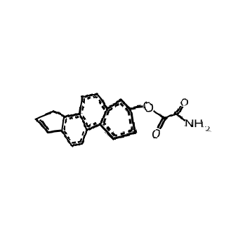 NC(=O)C(=O)Oc1ccc2c(ccc3c4c(ccc32)C=CC4)c1